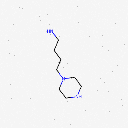 [NH]CCCCN1CCNCC1